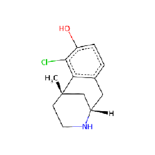 C[C@@]12CCN[C@@H](Cc3ccc(O)c(Cl)c31)C2